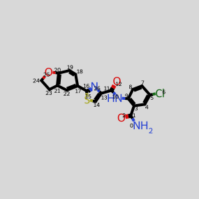 NC(=O)c1cc(Cl)ccc1NC(=O)c1csc(-c2ccc3c(c2)CCO3)n1